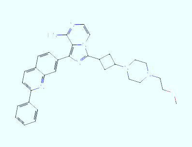 COCCN1CCN(C2CC(c3nc(-c4ccc5ccc(-c6ccccc6)nc5c4)c4c(N)nccn34)C2)CC1